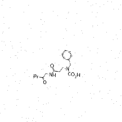 CC(C)C(=O)CNC(=O)CCN(Cc1ccccc1)C(=O)O